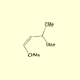 CO/C=C\C(OC)OC